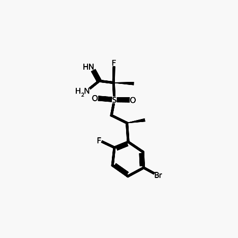 C[C@H](CS(=O)(=O)[C@@](C)(F)C(=N)N)c1cc(Br)ccc1F